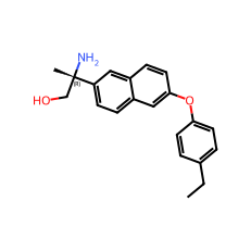 CCc1ccc(Oc2ccc3cc([C@@](C)(N)CO)ccc3c2)cc1